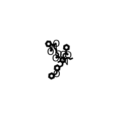 CCCc1nc(Cc2cccc(Oc3ccccc3)c2)c(C)c(C(=O)OCCN2C(=O)c3ccccc3C2=O)c1OC(=O)c1ccccc1